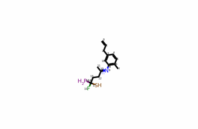 C=CCc1ccc(C)c(/N=C(\C)CCC(F)(P)S)c1